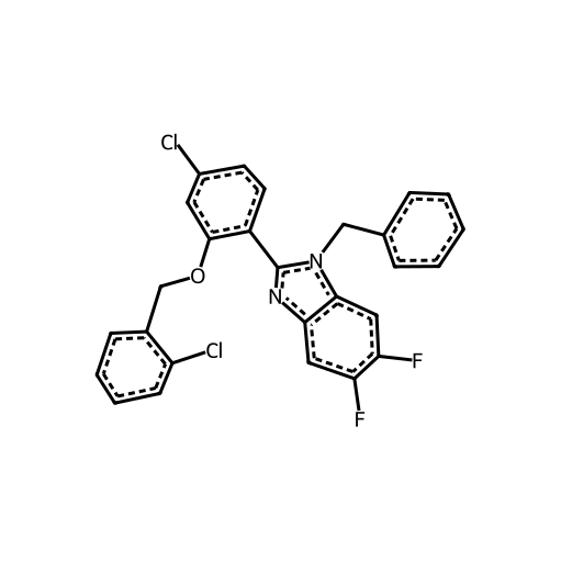 Fc1cc2nc(-c3ccc(Cl)cc3OCc3ccccc3Cl)n(Cc3ccccc3)c2cc1F